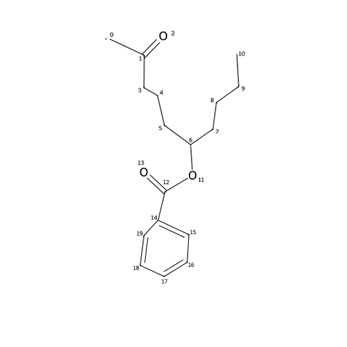 [CH2]C(=O)CCCC(CCCC)OC(=O)c1ccccc1